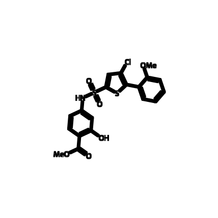 COC(=O)c1ccc(NS(=O)(=O)c2cc(Cl)c(-c3ccccc3OC)s2)cc1O